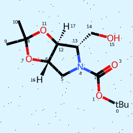 CC(C)(C)OC(=O)N1C[C@@H]2OC(C)(C)O[C@H]2[C@@H]1CO